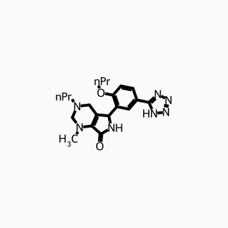 CCCOc1ccc(-c2nnn[nH]2)cc1C1NC(=O)C2=C1CN(CCC)CN2C